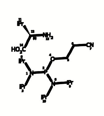 CC(C)N(C(C)C)P(OCCC#N)N(C(C)C)C(C)C.CC(C)[C@H](N)C(=O)O